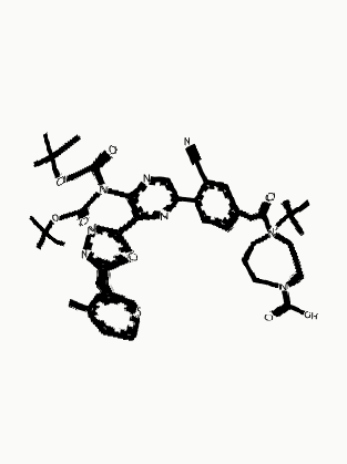 Cc1ccsc1-c1nnc(-c2nc(-c3ccc(C(=O)[N+]4(C(C)(C)C)CCCN(C(=O)O)CC4)cc3C#N)cnc2N(C(=O)OC(C)(C)C)C(=O)OC(C)(C)C)o1